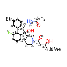 CCc1cccc(-c2c(F)cccc2[C@](O)(CCCNC(=O)C(F)(F)F)C2CCCN(C(=O)C[C@@H](O)CNC)C2)c1